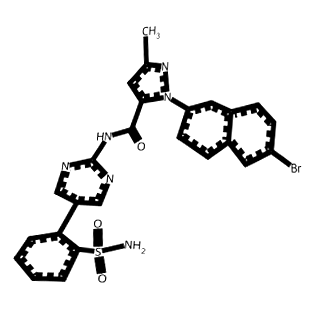 Cc1cc(C(=O)Nc2ncc(-c3ccccc3S(N)(=O)=O)cn2)n(-c2ccc3cc(Br)ccc3c2)n1